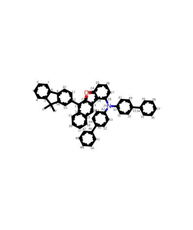 CC1(C)c2ccccc2-c2ccc(-c3c4ccccc4cc4c3oc3cccc(N(c5ccc(-c6ccccc6)cc5)c5ccc(-c6ccccc6)cc5)c34)cc21